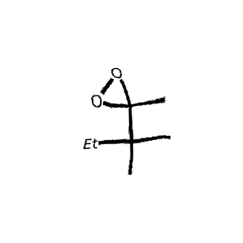 CCC(C)(C)C1(C)OO1